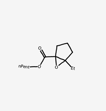 CCCCCOC(=O)C12CCCC1(CC)O2